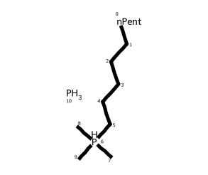 CCCCCCCCCC[PH](C)(C)C.P